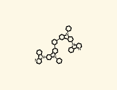 c1ccc(-n2c3ccc(-c4cccc(-c5ccc6c(c5)c5cc(-n7c8ccccc8c8ncccc87)ccc5n6-c5ccccc5)c4)cc3c3cc(-n4c5ccccc5c5ncccc54)ccc32)cc1